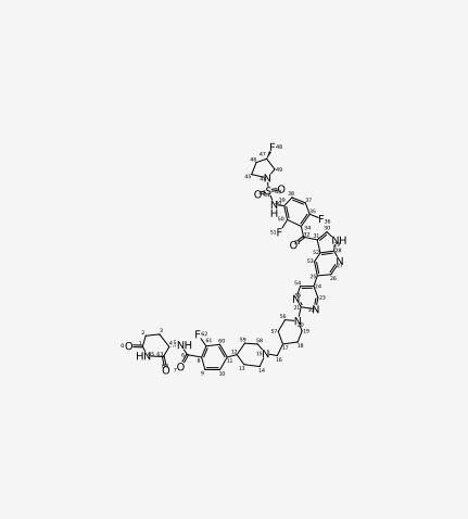 O=C1CC[C@H](NC(=O)c2ccc(C3CCN(CC4CCN(c5ncc(-c6cnc7[nH]cc(C(=O)c8c(F)ccc(NS(=O)(=O)N9CC[C@@H](F)C9)c8F)c7c6)cn5)CC4)CC3)cc2F)C(=O)N1